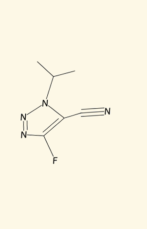 CC(C)n1nnc(F)c1C#N